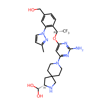 Cc1ccn(-c2cc(CO)ccc2[C@@H](Oc2cc(N3CCC4(CC3)CN[C@H](C(O)O)C4)nc(N)n2)C(F)(F)F)n1